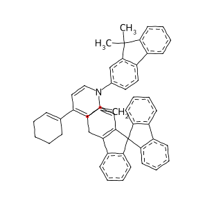 C=C/C=C(\C=C/N(C1=CC2=C(CC1)c1ccccc1C21c2ccccc2-c2ccccc21)c1ccc2c(c1)C(C)(C)c1ccccc1-2)C1=CCCCC1